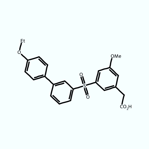 CCOc1ccc(-c2cccc(S(=O)(=O)c3cc(CC(=O)O)cc(OC)c3)c2)cc1